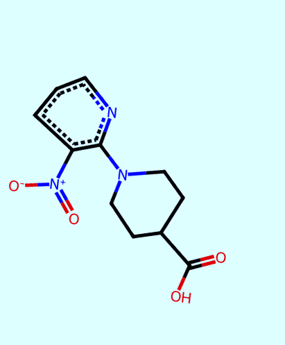 O=C(O)C1CCN(c2ncccc2[N+](=O)[O-])CC1